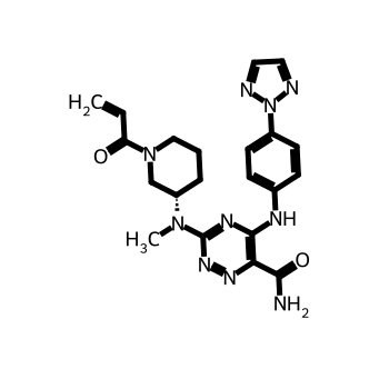 C=CC(=O)N1CCC[C@H](N(C)c2nnc(C(N)=O)c(Nc3ccc(-n4nccn4)cc3)n2)C1